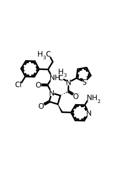 CCC(NC(=O)N1C(=O)[C@H](Cc2ccnc(N)c2)[C@H]1C(=O)N(C)c1cccs1)c1cccc(Cl)c1